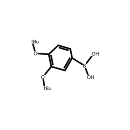 CC(C)(C)Oc1ccc(B(O)O)cc1OC(C)(C)C